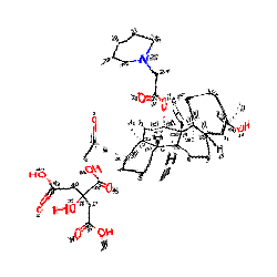 CC(=O)[C@H]1CC[C@H]2[C@@H]3CC[C@H]4C[C@](C)(O)CC[C@]4(C)[C@H]3[C@@H](OC(=O)CN3CCCCC3)C[C@]12C.O=C(O)CC(O)(CC(=O)O)C(=O)O